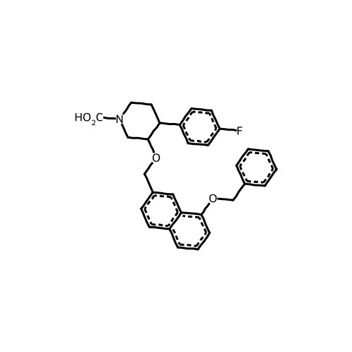 O=C(O)N1CCC(c2ccc(F)cc2)C(OCc2ccc3cccc(OCc4ccccc4)c3c2)C1